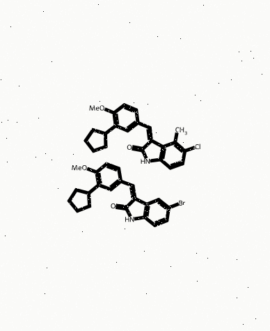 COc1ccc(C=C2C(=O)Nc3ccc(Br)cc32)cc1C1CCCC1.COc1ccc(C=C2C(=O)Nc3ccc(Cl)c(C)c32)cc1C1CCCC1